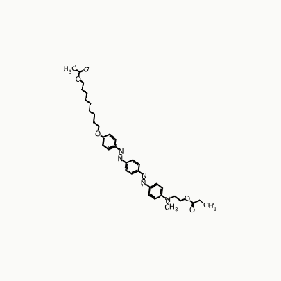 CCC(=O)OCCN(C)c1ccc(N=Nc2ccc(N=Nc3ccc(OCCCCCCCCCOC(C)=O)cc3)cc2)cc1